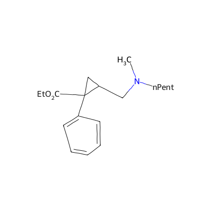 CCCCCN(C)CC1CC1(C(=O)OCC)c1ccccc1